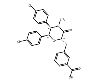 CN1C(=O)[C@H](Cc2cccc(C(=O)O)c2)O[C@@H](c2ccc(Cl)cc2)[C@H]1c1ccc(Cl)cc1